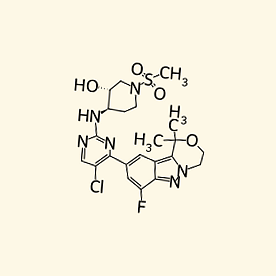 CC1(C)OCCn2nc3c(F)cc(-c4nc(N[C@@H]5CCN(S(C)(=O)=O)C[C@H]5O)ncc4Cl)cc3c21